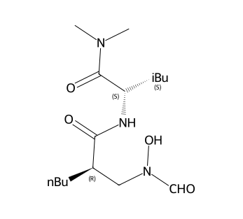 CCCC[C@H](CN(O)C=O)C(=O)N[C@H](C(=O)N(C)C)[C@@H](C)CC